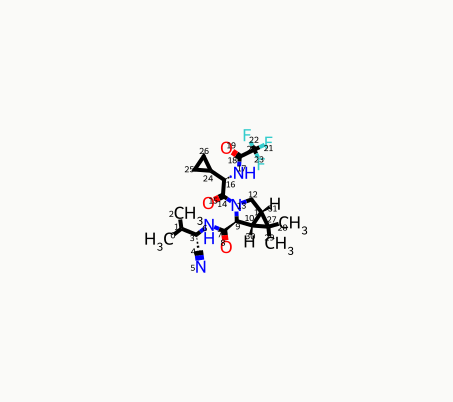 CC(C)[C@@H](C#N)NC(=O)[C@@H]1[C@@H]2[C@H](CN1C(=O)[C@@H](NC(=O)C(F)(F)F)C1CC1)C2(C)C